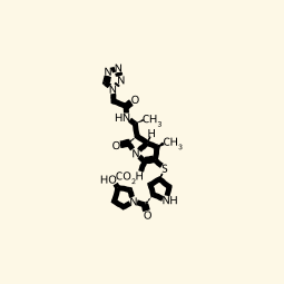 C[C@@H](NC(=O)Cn1cnnn1)[C@H]1C(=O)N2C(C(=O)O)=C(S[C@@H]3CN[C@H](C(=O)N4CCC(O)C4)C3)[C@H](C)[C@H]12